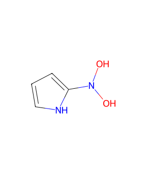 ON(O)c1ccc[nH]1